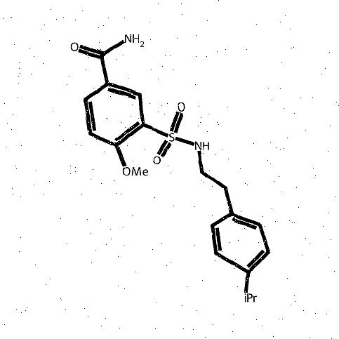 COc1ccc(C(N)=O)cc1S(=O)(=O)NCCc1ccc(C(C)C)cc1